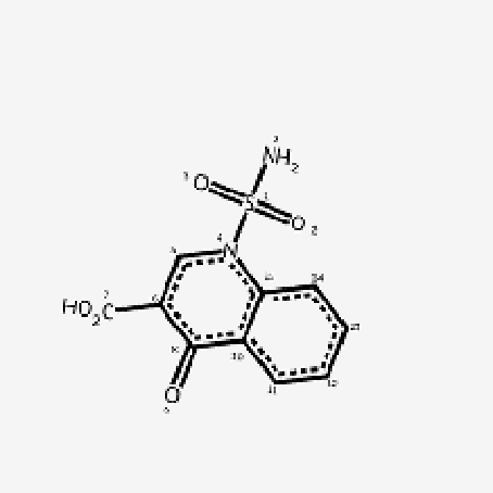 NS(=O)(=O)n1cc(C(=O)O)c(=O)c2ccccc21